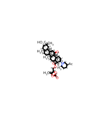 CC(=O)[C@H]1CCCN([C@H]2CC[C@@]3(C)[C@@H](CC[C@]4(C)[C@@H]3C(=O)C=C3[C@@H]5C[C@@](C)(C(=O)O)CC[C@]5(C)CC[C@]34C)[C@]2(C)C(=O)OCc2oc(=O)oc2C)C1